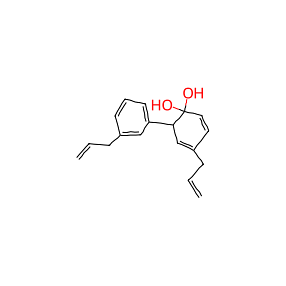 C=CCC1=CC(c2cccc(CC=C)c2)C(O)(O)C=C1